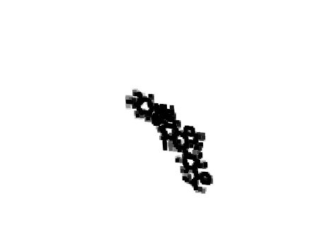 Cc1cc(NS(=O)(=O)c2ccc3c(c2)C2OCCC2C(c2ccc(C(=O)C(C)C)cc2)N3)ccc1F